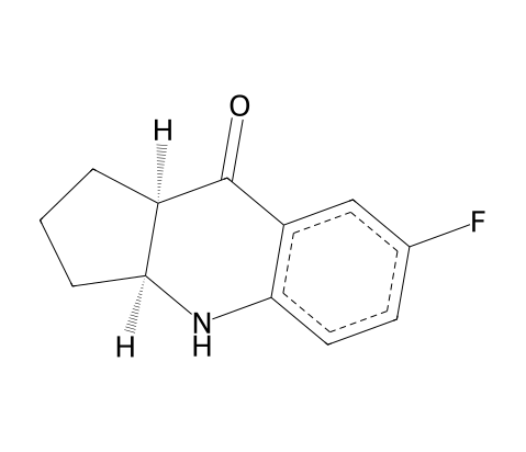 O=C1c2cc(F)ccc2N[C@H]2CCC[C@@H]12